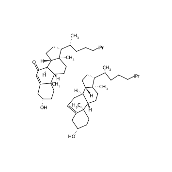 CC(C)CCC[C@@H](C)[C@H]1CC[C@H]2[C@@H]3C(=O)C=C4C[C@@H](O)CC[C@]4(C)[C@H]3CC[C@]12C.CC(C)CCC[C@@H](C)[C@H]1CC[C@H]2[C@@H]3CC=C4C[C@@H](O)CC[C@]4(C)[C@H]3CC[C@]12C